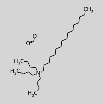 CCCCCCCCCCCCCCCC[N+](CCCC)(CCCC)CCCC.O=C[O-]